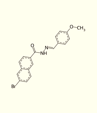 COc1ccc(C=NNC(=O)c2ccc3cc(Br)ccc3c2)cc1